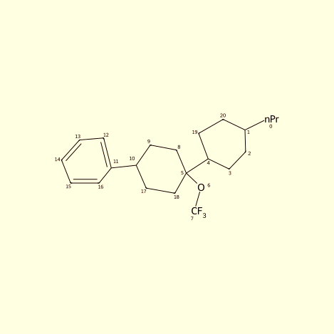 CCCC1CCC(C2(OC(F)(F)F)CCC(c3ccccc3)CC2)CC1